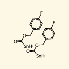 O=[C]([SnH])OCc1ccc(F)cc1.O=[C]([SnH])OCc1ccc(F)cc1